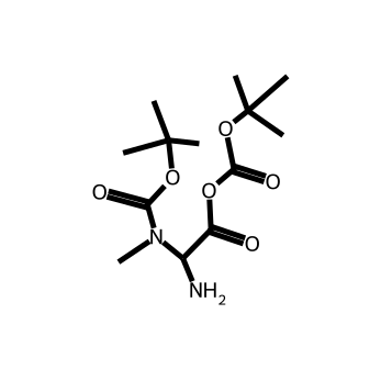 CN(C(=O)OC(C)(C)C)C(N)C(=O)OC(=O)OC(C)(C)C